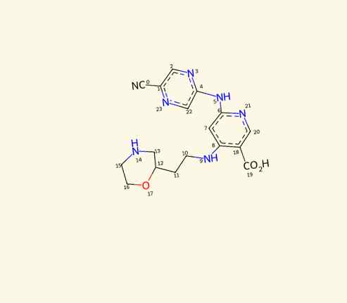 N#Cc1cnc(Nc2cc(NCCC3CNCCO3)c(C(=O)O)cn2)cn1